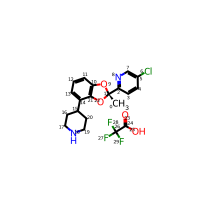 C[C@]1(c2ccc(Cl)cn2)Oc2cccc(C3CCNCC3)c2O1.O=C(O)C(F)(F)F